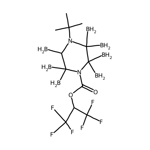 BC1N(C(C)(C)C)C(B)(B)C(B)(B)N(C(=O)OC(C(F)(F)F)C(F)(F)F)C1(B)B